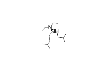 CCN(CC)[SiH](CCC(C)C)CCC(C)C